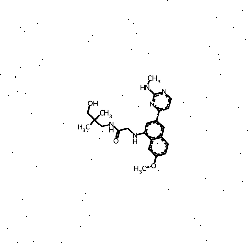 CNc1nccc(-c2cc(NCC(=O)NCC(C)(C)CO)c3cc(OC)ccc3c2)n1